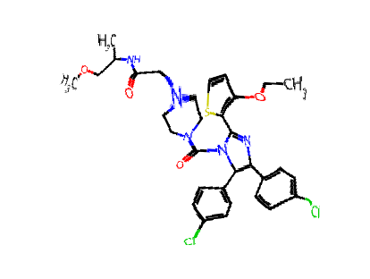 CCOc1ccsc1C1=NC(c2ccc(Cl)cc2)C(c2ccc(Cl)cc2)N1C(=O)N1CCN(CC(=O)NC(C)COC)CC1